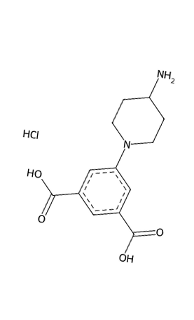 Cl.NC1CCN(c2cc(C(=O)O)cc(C(=O)O)c2)CC1